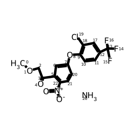 COCC(=O)c1cc(Oc2ccc(C(F)(F)F)cc2Cl)ccc1[N+](=O)[O-].N